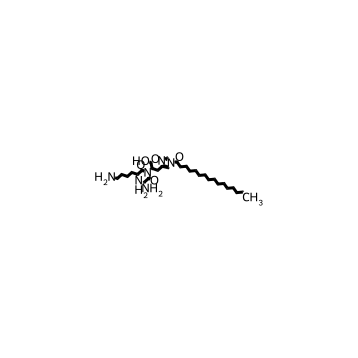 CCCCCCCCCCCCCCCC(=O)n1cnc(CC(C(=O)O)N(C(=O)CN)C(=O)C(N)CCCCN)c1